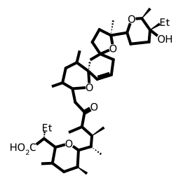 CC[C@@H](C(=O)O)C1OC([C@@H](C)[C@H](C)C(C)C(=O)CC2O[C@]3(C=CCC4(CC[C@@](C)(C5CC[C@](O)(CC)[C@H](C)O5)O4)C3)C(C)CC2C)[C@@H](C)CC1C